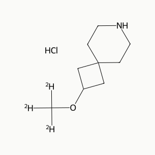 Cl.[2H]C([2H])([2H])OC1CC2(CCNCC2)C1